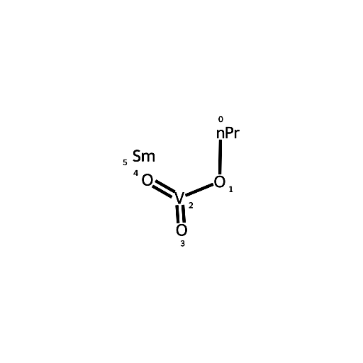 CCC[O][V](=[O])=[O].[Sm]